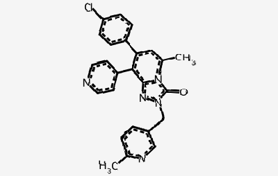 Cc1ccc(Cn2nc3c(-c4ccncc4)c(-c4ccc(Cl)cc4)cc(C)n3c2=O)cn1